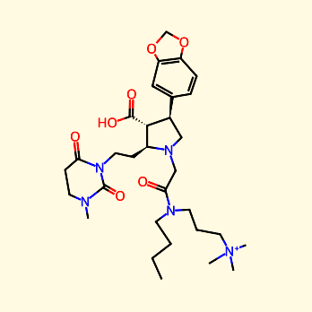 CCCCN(CCC[N+](C)(C)C)C(=O)CN1C[C@H](c2ccc3c(c2)OCO3)[C@@H](C(=O)O)[C@@H]1CCN1C(=O)CCN(C)C1=O